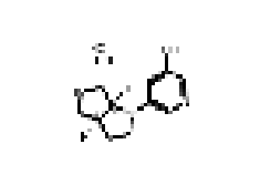 Cl.Cl.Oc1cncc(N2CC[C@H]3CNC[C@H]32)c1